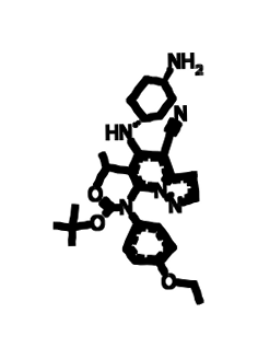 CCOc1ccc(N(C(=O)OC(C)(C)C)c2c(C(C)C)c(N[C@H]3CC[C@H](N)CC3)c(C#N)c3ccnn23)cc1